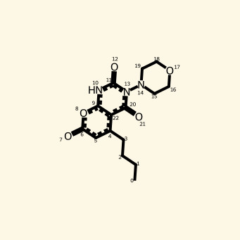 CCCCc1cc(=O)oc2[nH]c(=O)n(N3CCOCC3)c(=O)c12